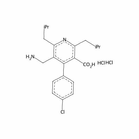 CC(C)Cc1nc(CC(C)C)c(C(=O)O)c(-c2ccc(Cl)cc2)c1CN.Cl.Cl